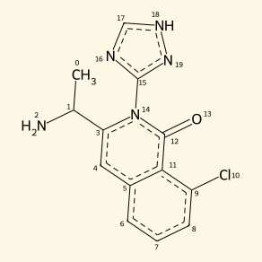 CC(N)c1cc2cccc(Cl)c2c(=O)n1-c1nc[nH]n1